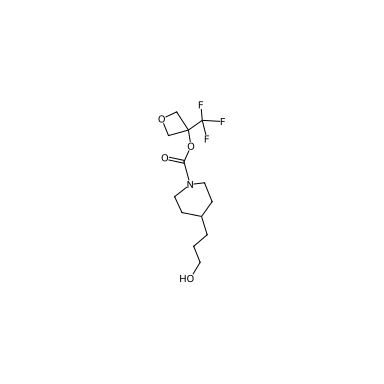 O=C(OC1(C(F)(F)F)COC1)N1CCC(CCCO)CC1